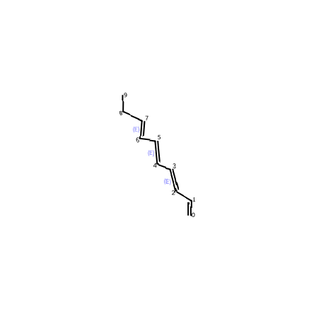 C=C/C=C/C=C/C=C/CC